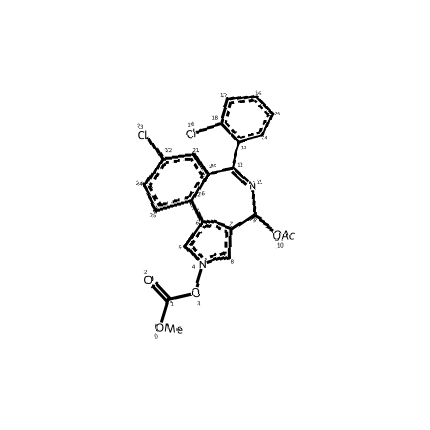 COC(=O)On1cc2c(c1)C(OC(C)=O)N=C(c1ccccc1Cl)c1cc(Cl)ccc1-2